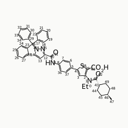 CCN(c1cc(-c2ccc(NC(=O)c3ccn(C(c4ccccc4)(c4ccccc4)c4ccccc4)n3)cc2)sc1C(=O)O)C(=O)[C@H]1CC[C@H](C)CC1